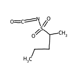 CCCC(C)S(=O)(=O)N=C=O